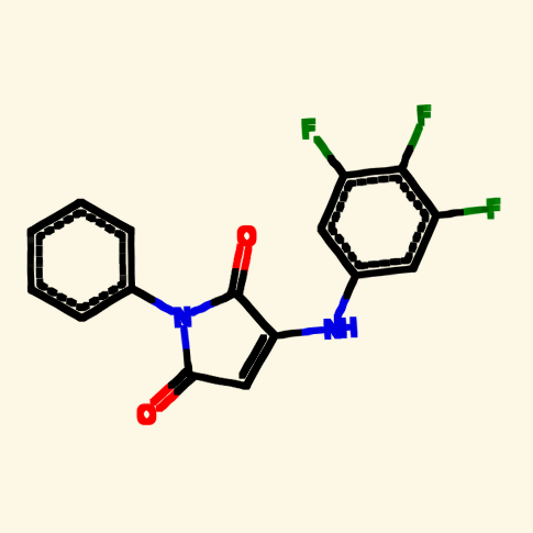 O=C1C=C(Nc2cc(F)c(F)c(F)c2)C(=O)N1c1ccccc1